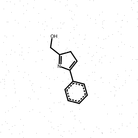 OCC1=NC(c2ccccc2)=CC1